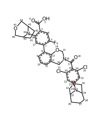 O=C(O)c1cc(F)c(-c2cccc3c2OCN(C(=O)c2c(Cl)cc(N4C5CCCC4COC5)cc2Cl)C3)cc1N1C2CCC1COC2